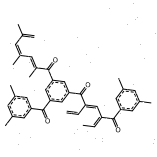 C=C/C(=C\C(=C/C)C(=O)c1cc(C)cc(C)c1)C(=O)c1cc(C(=O)/C(C)=C/C(C)=C\C(=C)C)cc(C(=O)c2cc(C)cc(C)c2)c1